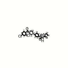 O=C(c1ccc(Cl)cc1Cl)N1CCN(c2ccc(S(=O)(=O)Nc3nccs3)cc2)CC1